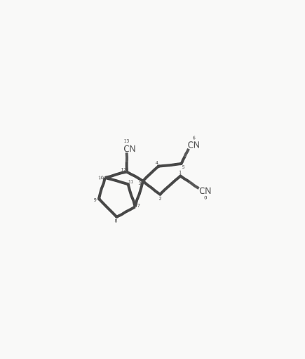 N#CCCC1(CCC#N)C2CCC(C2)C1C#N